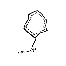 [CH2]CCPc1ccccc1